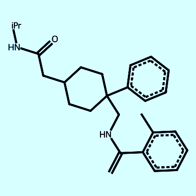 C=C(NCC1(c2ccccc2)CCC(CC(=O)NC(C)C)CC1)c1ccccc1C